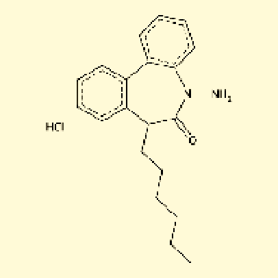 CCCCCCC1C(=O)N(N)c2ccccc2-c2ccccc21.Cl